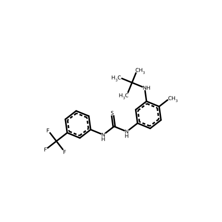 Cc1ccc(NC(=S)Nc2cccc(C(F)(F)F)c2)cc1NC(C)(C)C